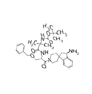 CC(C)(C)OC(=O)NC(C)(C)C(=O)NC(COCc1ccccc1)C(=O)N1CCC2(CC1)C[C@@H](N)c1ccccc12